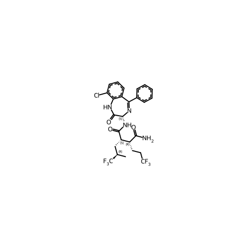 C[C@H](C[C@H](C(=O)N[C@H]1N=C(c2ccccc2)c2cccc(Cl)c2NC1=O)[C@@H](CCC(F)(F)F)C(N)=O)C(F)(F)F